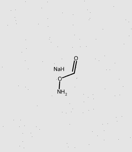 NOC=O.[NaH]